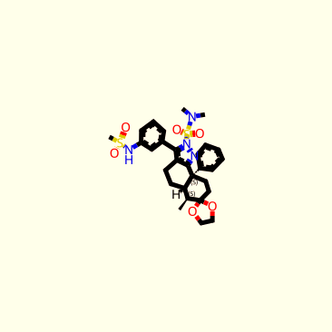 C[C@H]1[C@@H]2CCc3c(nn(S(=O)(=O)N(C)C)c3-c3cccc(NS(C)(=O)=O)c3)[C@@]2(c2ccccc2)CCC12OCCO2